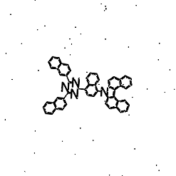 c1ccc2cc(-c3nc(-c4ccc5ccccc5c4)nc(-c4ccc(-n5c6ccc7ccccc7c6c6c7ccccc7ccc65)c5ccccc45)n3)ccc2c1